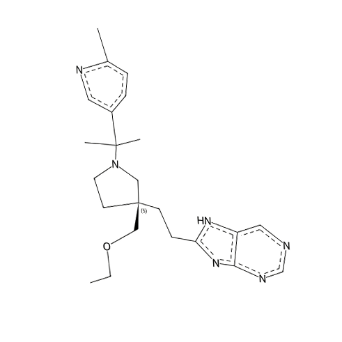 CCOC[C@@]1(CCc2nc3ncncc3[nH]2)CCN(C(C)(C)c2ccc(C)nc2)C1